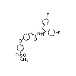 CS(=O)(=O)c1ccc(Oc2ccc(NC(=O)N3CC(c4ccc(F)cc4)C(c4ccc(F)cc4)=N3)cc2)cc1